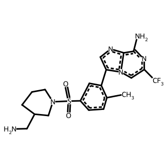 Cc1ccc(S(=O)(=O)N2CCCC(CN)C2)cc1-c1cnc2c(N)nc(C(F)(F)F)cn12